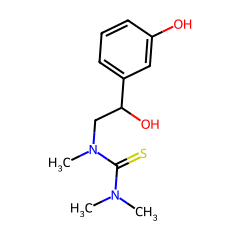 CN(C)C(=S)N(C)CC(O)c1cccc(O)c1